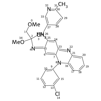 COCC(C)(N=c1cc2n(-c3cccc(Cl)c3)c3ccccc3nc-2cc1Nc1ccc(C)nc1)OC